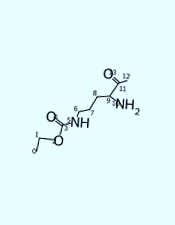 CCOC(=O)NCCCC(N)C(C)=O